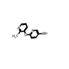 Cc1ncccc1Oc1ccc(C(C)(C)C)cn1